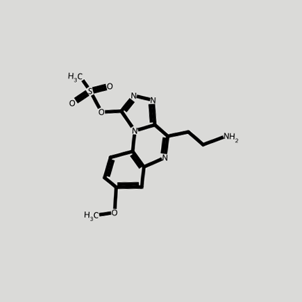 COc1ccc2c(c1)nc(CCN)c1nnc(OS(C)(=O)=O)n12